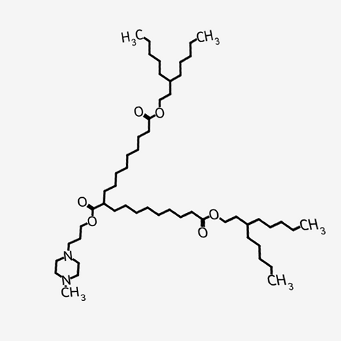 CCCCCC(CCCCC)CCOC(=O)CCCCCCCCC(CCCCCCCCC(=O)OCCC(CCCCC)CCCCC)C(=O)OCCCN1CCN(C)CC1